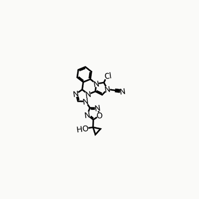 N#CN1C=C2N(c3ccccc3C3N=CN(c4noc(C5(O)CC5)n4)N23)C1Cl